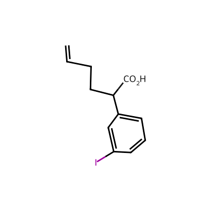 C=CCCC(C(=O)O)c1cccc(I)c1